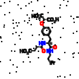 CC(C)CCNC(=O)[C@H](Cc1ccc(OC(C(=O)O)C(=O)O)cc1)NC(=O)CCC(=O)O